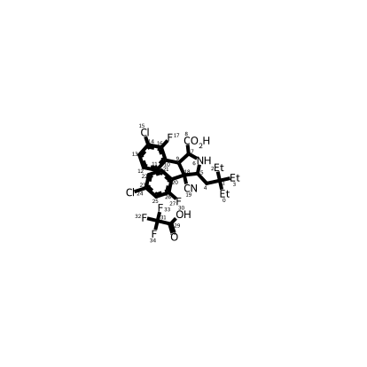 CCC(CC)(CC)CC1NC(C(=O)O)C(c2cccc(Cl)c2F)C1(C#N)c1ccc(Cl)cc1F.O=C(O)C(F)(F)F